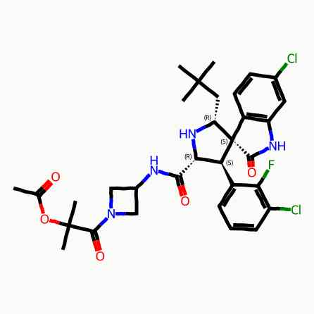 CC(=O)OC(C)(C)C(=O)N1CC(NC(=O)[C@@H]2N[C@H](CC(C)(C)C)[C@]3(C(=O)Nc4cc(Cl)ccc43)[C@H]2c2cccc(Cl)c2F)C1